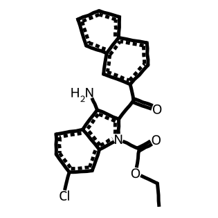 CCOC(=O)n1c(C(=O)c2ccc3ccccc3c2)c(N)c2ccc(Cl)cc21